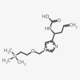 C=CCC(NC(=O)O)c1cn(COCC[Si](C)(C)C)cn1